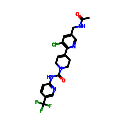 CC(=O)NCc1cnc(C2=CCN(C(=O)Nc3ccc(C(F)(F)F)cn3)CC2)c(Cl)c1